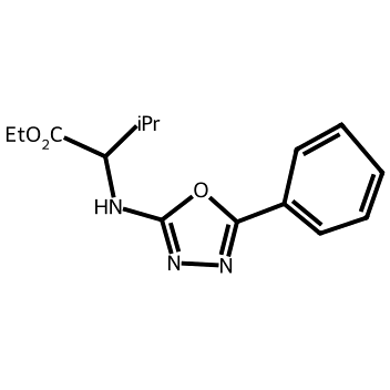 CCOC(=O)C(Nc1nnc(-c2ccccc2)o1)C(C)C